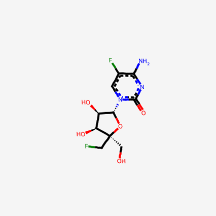 Nc1nc(=O)n([C@@H]2O[C@@](CO)(CF)[C@@H](O)[C@H]2O)cc1F